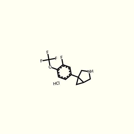 Cl.Fc1cc(C23CNCC2C3)ccc1OC(F)(F)F